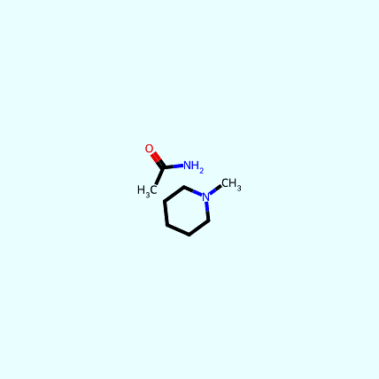 CC(N)=O.CN1CCCCC1